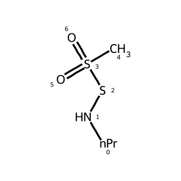 CCCNSS(C)(=O)=O